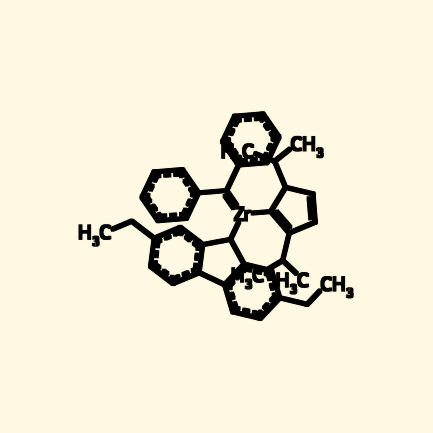 CCc1ccc2c(c1)[CH]([Zr]([C]1=C(C(C)C)C=CC1C(C)C)=[C](c1ccccc1)c1ccccc1)c1cc(CC)ccc1-2